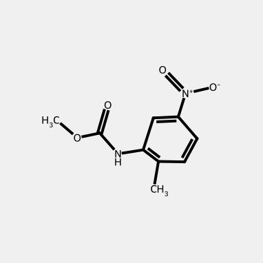 COC(=O)Nc1cc([N+](=O)[O-])ccc1C